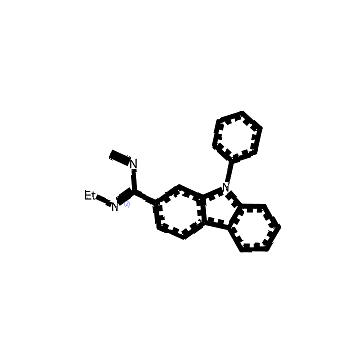 C=N/C(=N\CC)c1ccc2c3ccccc3n(-c3ccccc3)c2c1